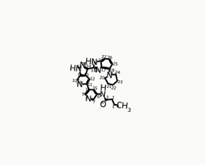 CCCC(=O)Nc1cncc(-c2cc3c(-c4nc5c(N6CCCCC6)cccc5[nH]4)n[nH]c3cn2)c1